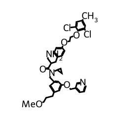 COCCCc1cc(CN(C(=O)C(CN)Cc2ccc(OCCOc3c(Cl)cc(C)cc3Cl)cc2)C2CC2)cc(OCc2cccnc2)c1